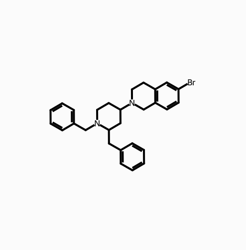 Brc1ccc2c(c1)CCN(C1CCN(Cc3ccccc3)C(Cc3ccccc3)C1)C2